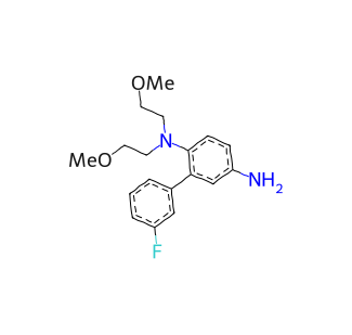 COCCN(CCOC)c1ccc(N)cc1-c1cccc(F)c1